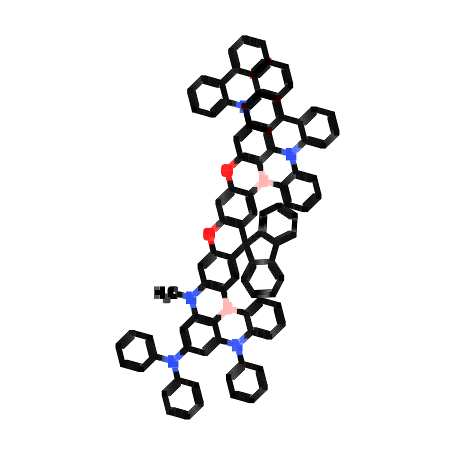 CN1c2cc3c(cc2B2c4ccccc4N(c4ccccc4)c4cc(N(c5ccccc5)c5ccccc5)cc1c42)C1(c2cc4c(cc2O3)Oc2cc(N(c3ccccc3)c3ccccc3-c3ccccc3)cc3c2B4c2ccccc2N3c2ccccc2-c2ccccc2)c2ccccc2-c2ccccc21